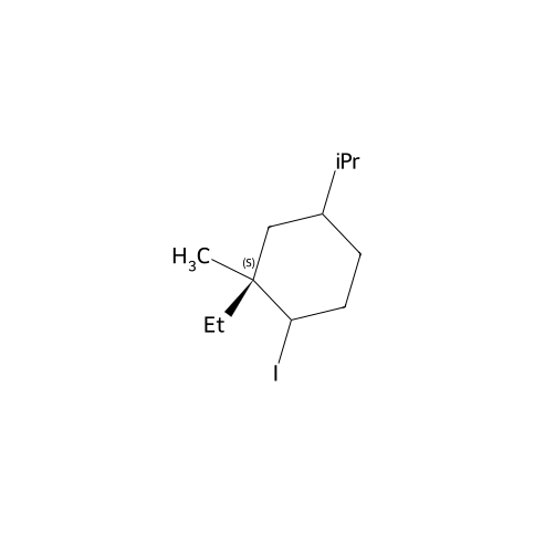 CC[C@@]1(C)CC(C(C)C)CCC1I